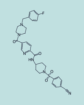 N#Cc1ccc(S(=O)(=O)N2CCC(NC(=O)c3ccc(C(=O)N4CCN(Cc5ccc(F)cc5)CC4)cn3)CC2)cc1